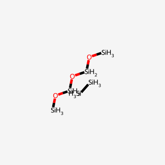 [SiH3]O[SiH2]O[SiH2]O[SiH3].[SiH3][SiH3]